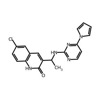 CC(Nc1nccc(-n2cccc2)n1)c1cc2cc(Cl)ccc2[nH]c1=O